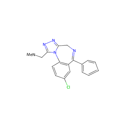 CNCc1nnc2n1-c1ccc(Cl)cc1C(c1ccccc1)=NC2